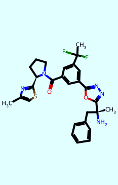 Cc1csc([C@H]2CCCN2C(=O)c2cc(-c3nnc([C@](C)(N)Cc4ccccc4)o3)cc(C(C)(F)F)c2)n1